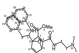 COC(=O)C1=C(C(=O)NCCN(C)C)C2C=CC1(C(Cc1ccccc1)Nc1cccc(F)c1)O2